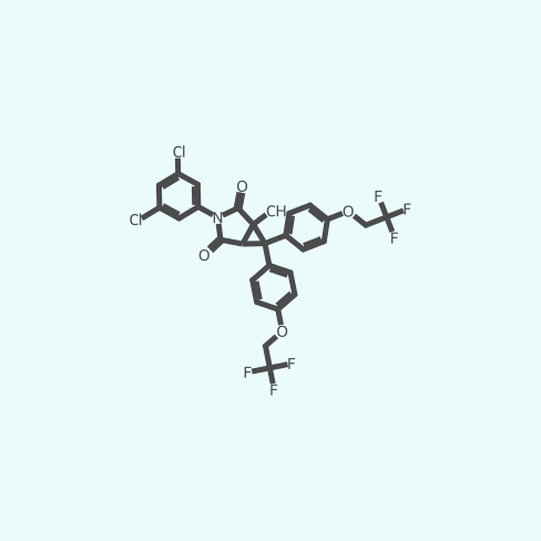 CC12C(=O)N(c3cc(Cl)cc(Cl)c3)C(=O)C1C2(c1ccc(OCC(F)(F)F)cc1)c1ccc(OCC(F)(F)F)cc1